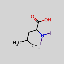 CC(C)CC(C(=O)O)N(I)I